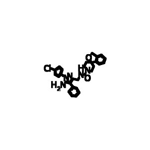 Nc1c(-c2ccccc2)c(CNC(=O)N2CCC3(CC2)OCc2ccccc23)nn1-c1ccc(Cl)cc1